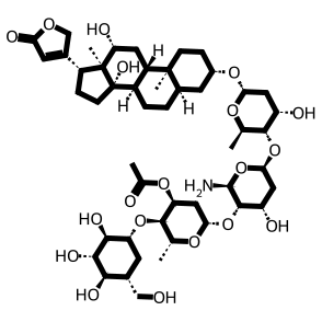 CC(=O)O[C@H]1C[C@H](O[C@H]2[C@@H](O)C[C@H](O[C@H]3[C@@H](O)C[C@@H](O[C@H]4CC[C@@]5(C)[C@H](CC[C@@H]6[C@@H]5C[C@@H](O)[C@]5(C)[C@@H](C7=CC(=O)OC7)CC[C@]65O)C4)O[C@@H]3C)O[C@@H]2N)O[C@H](C)[C@H]1O[C@@H]1C[C@H](CO)[C@@H](O)[C@H](O)[C@H]1O